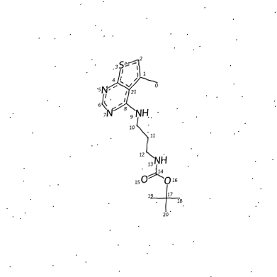 Cc1csc2ncnc(NCCCNC(=O)OC(C)(C)C)c12